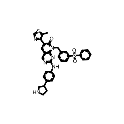 Cc1scnc1-c1cc2cnc(Nc3ccc(C4CCNC4)cc3)nc2n(Cc2cccc(S(=O)(=O)c3ccccc3)c2)c1=O